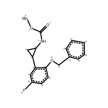 CC(C)(C)OC(=O)NC1CC1c1cc(F)ccc1OCc1ccccc1